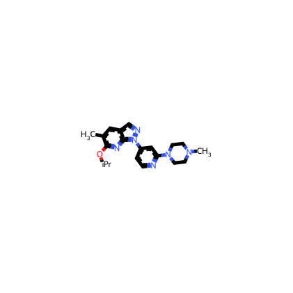 Cc1cc2cnn(-c3ccnc(N4CCN(C)CC4)c3)c2nc1OC(C)C